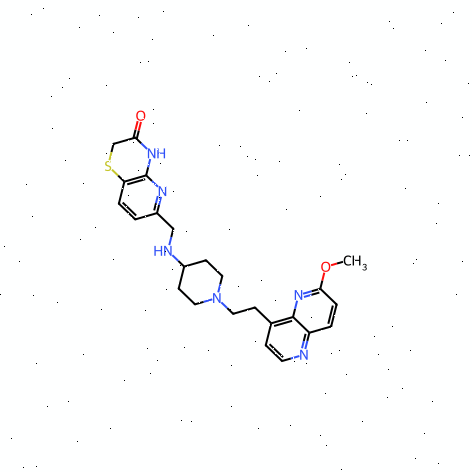 COc1ccc2nccc(CCN3CCC(NCc4ccc5c(n4)NC(=O)CS5)CC3)c2n1